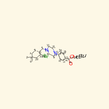 CC1(C)CCC(CN2CCN(c3ccc(C(=O)OC(C)(C)C)cc3)CC2)=C(Br)C1